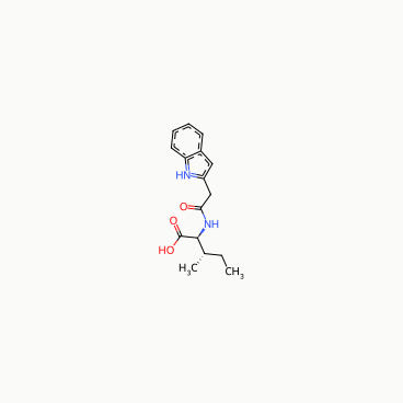 CC[C@H](C)[C@H](NC(=O)Cc1cc2ccccc2[nH]1)C(=O)O